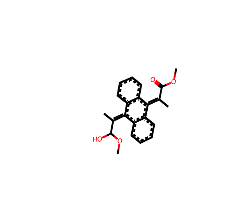 COC(=O)C(C)=c1c2ccccc2c(=C(C)C(O)OC)c2ccccc12